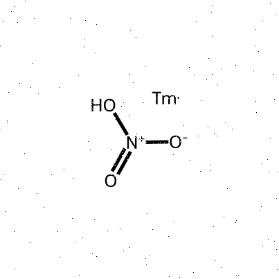 O=[N+]([O-])O.[Tm]